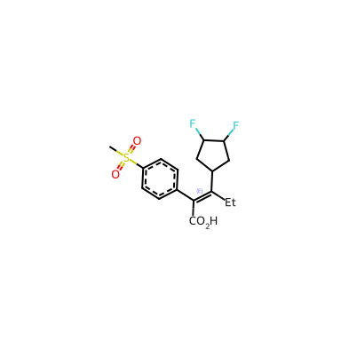 CC/C(=C(\C(=O)O)c1ccc(S(C)(=O)=O)cc1)C1CC(F)C(F)C1